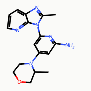 Cc1nc2cccnc2n1-c1cc(N2CCOCC2C)cc(N)n1